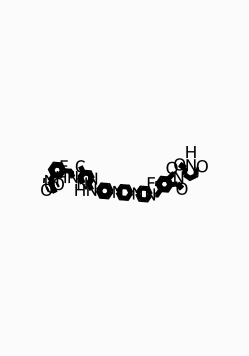 CN(c1cccc(CNc2nc(Nc3ccc(N4CCC(N5CCN(Cc6cc7c(cc6F)C(=O)N(C6CCC(=O)NC6=O)C7=O)CC5)CC4)cc3)ncc2C(F)(F)F)c1)S(C)(=O)=O